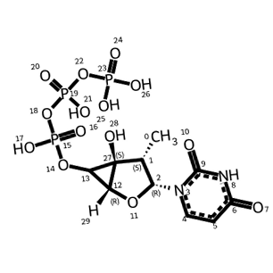 C[C@@H]1[C@H](n2ccc(=O)[nH]c2=O)O[C@@H]2C(OP(=O)(O)OP(=O)(O)OP(=O)(O)O)[C@@]21O